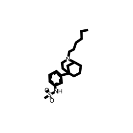 CCCCCCN1CCC2(c3cccc(NS(C)(=O)=O)c3)CCCC1C2